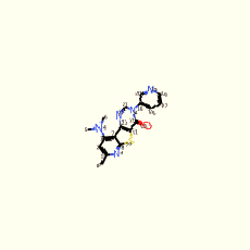 Cc1cc(N(C)C)c2c(n1)sc1c(=O)n(-c3cccnc3)cnc12